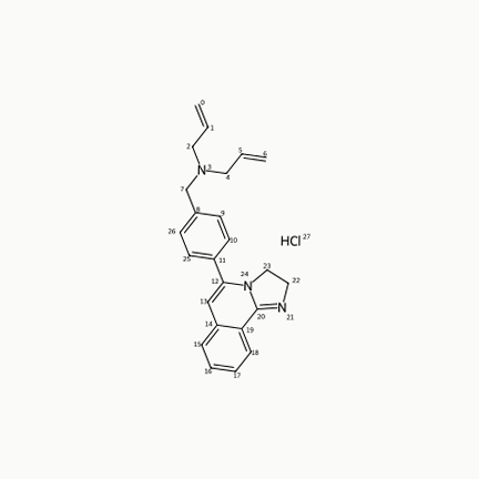 C=CCN(CC=C)Cc1ccc(C2=Cc3ccccc3C3=NCCN23)cc1.Cl